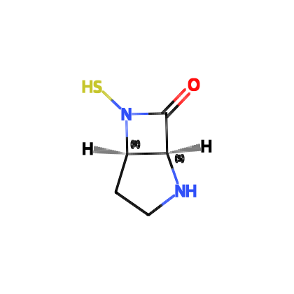 O=C1[C@H]2NCC[C@H]2N1S